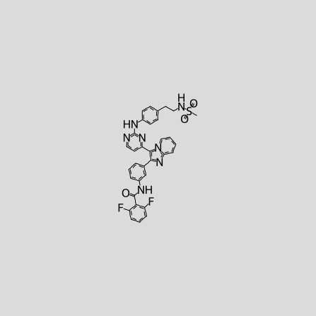 CS(=O)(=O)NCCc1ccc(Nc2nccc(-c3c(-c4cccc(NC(=O)c5c(F)cccc5F)c4)nc4ccccn34)n2)cc1